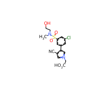 CN(CCO)S(=O)(=O)c1cc(Cl)cc(-c2cn(CC(=O)O)cc2C#N)c1